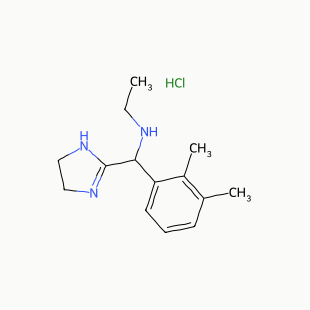 CCNC(C1=NCCN1)c1cccc(C)c1C.Cl